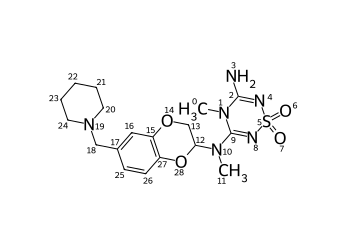 CN1C(N)=NS(=O)(=O)N=C1N(C)C1COc2cc(CN3CCCCC3)ccc2O1